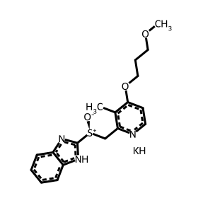 COCCCOc1ccnc(C[S@+]([O-])c2nc3ccccc3[nH]2)c1C.[KH]